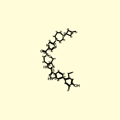 CCc1cc(O)c(F)cc1-c1ccc2c(-c3nc4c([nH]3)CCN(C(=O)c3cnc(N5CCCN(C6CN(C)C6)CC5)cn3)CC4)n[nH]c2c1